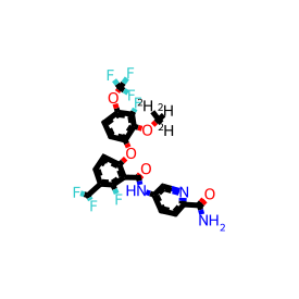 [2H]C([2H])([2H])Oc1c(Oc2ccc(C(F)F)c(F)c2C(=O)Nc2ccc(C(N)=O)nc2)ccc(OC(F)(F)F)c1F